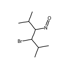 CC(C)C(Br)C(N=O)C(C)C